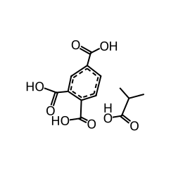 CC(C)C(=O)O.O=C(O)c1ccc(C(=O)O)c(C(=O)O)c1